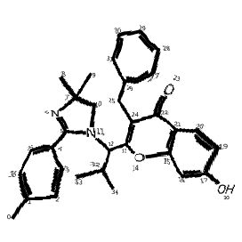 Cc1ccc(C2=NC(C)(C)CN2C(c2oc3cc(O)ccc3c(=O)c2Cc2ccccc2)C(C)C)cc1